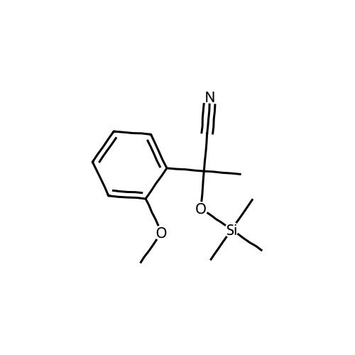 COc1ccccc1C(C)(C#N)O[Si](C)(C)C